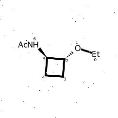 CCO[C@@H]1CC[C@H]1NC(C)=O